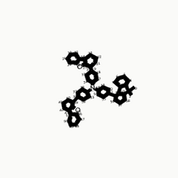 CC1(C)c2ccccc2-c2c(-c3ccc(N(c4ccc(-c5cccc6c5oc5ccccc56)cc4)c4ccc(-c5cccc6c5oc5ccccc56)cc4)cc3)cccc21